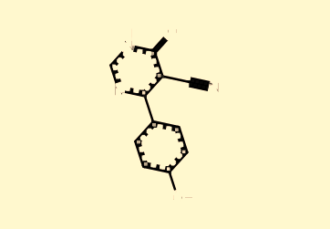 N#Cc1c(-c2ccc(O)cc2)nc[nH]c1=O